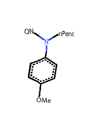 CCCCCN(N=O)c1ccc(OC)cc1